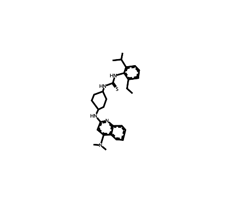 CCc1cccc(C(C)C)c1NC(=S)NC1CCC(Nc2cc(N(C)C)c3ccccc3n2)CC1